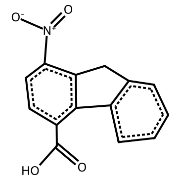 O=C(O)c1ccc([N+](=O)[O-])c2c1-c1ccccc1C2